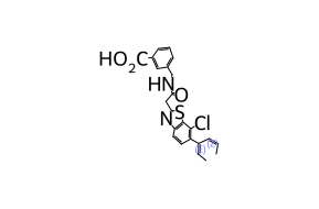 C/C=C\C(=C/C)c1ccc2nc(CC(=O)NCc3cccc(C(=O)O)c3)sc2c1Cl